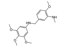 CNc1cc(CNc2cc(OC)c(OC)c(OC)c2)ccc1OC